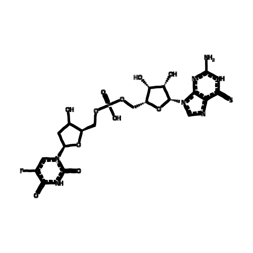 Nc1nc2c(ncn2[C@@H]2O[C@H](COP(=O)(O)OC[C@H]3O[C@@H](n4cc(F)c(=O)[nH]c4=O)CC3O)[C@H](O)[C@@H]2O)c(=S)[nH]1